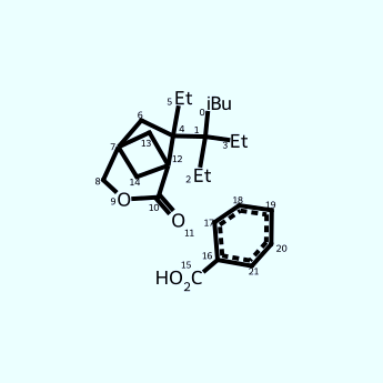 CCC(C)C(CC)(CC)C1(CC)CC23COC(=O)C1(C2)C3.O=C(O)c1ccccc1